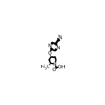 C[C@H]1C[C@@H](Oc2cnc(C#N)cn2)CCN1C(=O)O